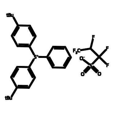 CC(C)(C)c1ccc([S+](c2ccccc2)c2ccc(C(C)(C)C)cc2)cc1.O=S(=O)([O-])C(F)(F)C(F)C(F)(F)F